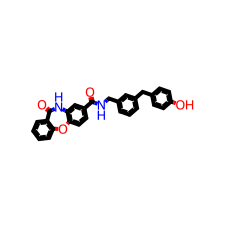 O=C(NCc1cccc(Cc2ccc(O)cc2)c1)c1ccc2c(c1)NC(=O)c1ccccc1O2